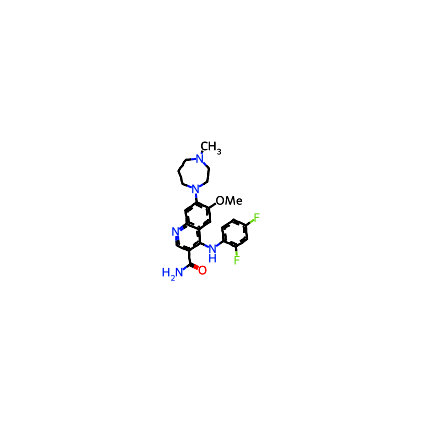 COc1cc2c(Nc3ccc(F)cc3F)c(C(N)=O)cnc2cc1N1CCCN(C)CC1